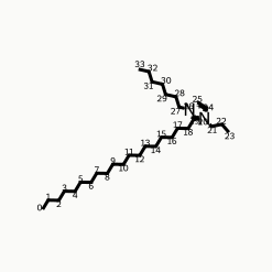 CCCCCCCCCCCCCCCCCCCc1n(CCC)cc[n+]1CCCCCCC